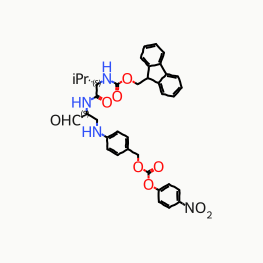 CC(C)[C@H](NC(=O)OCC1c2ccccc2-c2ccccc21)C(=O)N[C@H](C=O)CNc1ccc(COC(=O)Oc2ccc([N+](=O)[O-])cc2)cc1